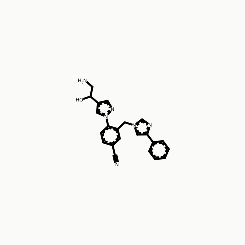 N#Cc1ccc(-n2cc(C(O)CN)cn2)c(Cn2cnc(-c3ccccc3)c2)c1